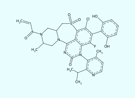 C=CC(=O)N1CC2CS(=O)(=O)c3c(Cl)c(-c4c(O)cccc4O)c(F)c4c3c(nc(=O)n4-c3c(C)ccnc3C(C)C)N2CC1C